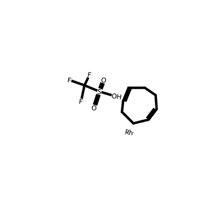 C1=C\CC/C=C\CC/1.O=S(=O)(O)C(F)(F)F.[Rh]